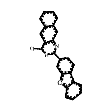 Clc1nc(-c2ccc3c(c2)oc2ccccc23)nc2cc3ccccc3cc12